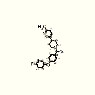 Cc1ccc(C2CCN(C(=O)c3ccc(Oc4ccc(F)cc4)cc3)CC2)nn1